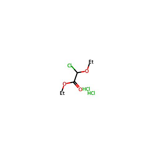 CCOC(=O)C(Cl)OCC.Cl.Cl